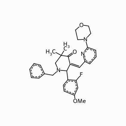 COc1ccc(C2C(=Cc3cccc(N4CCOCC4)n3)C(=O)C(C)(C)CN2Cc2ccccc2)c(F)c1